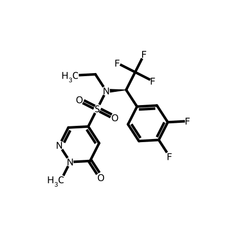 CCN([C@H](c1ccc(F)c(F)c1)C(F)(F)F)S(=O)(=O)c1cnn(C)c(=O)c1